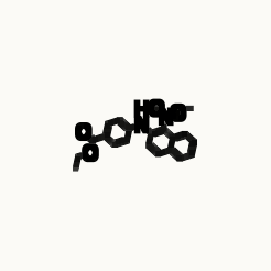 CCOC(=O)c1ccc(Nc2ccc3ccccc3c2[N+](=O)[O-])cc1